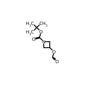 CC(C)(C)OC(=O)N1CC(OC=O)C1